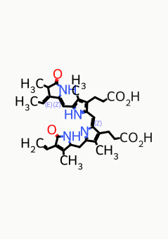 C=CC1=C(C)C(CC2=N/C(=C\c3[nH]c(/C=C4\NC(=O)C(C)\C4=C/C)c(C)c3CCC(=O)O)C(CCC(=O)O)=C2C)NC1=O